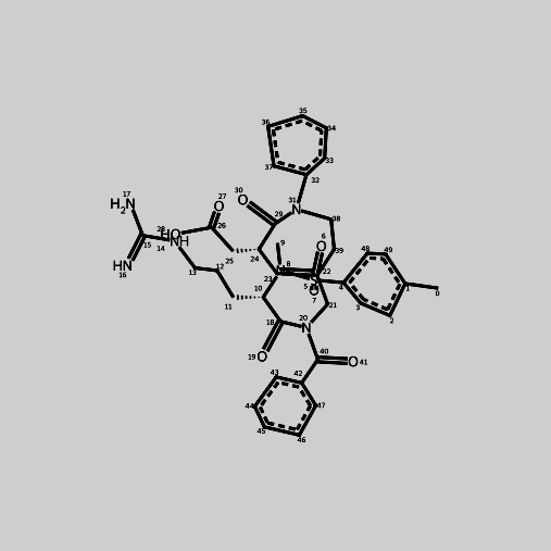 Cc1ccc(S(=O)(=O)N(C)[C@@H](CCCNC(=N)N)C(=O)N(CC2=C[C@H](CC(=O)O)C(=O)N(c3ccccc3)CC2)C(=O)c2ccccc2)cc1